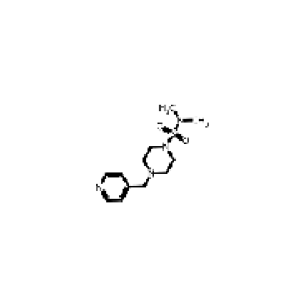 CN(C)S(=O)(=O)N1CCN(Cc2c[c]ncc2)CC1